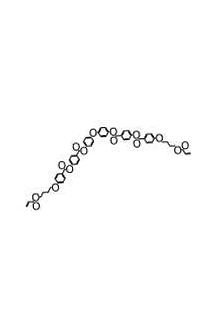 C=CC(=O)OCCCCOc1ccc(C(=O)Oc2ccc(C(=O)Oc3ccc(Oc4ccc(OC(=O)c5ccc(OC(=O)c6ccc(OCCCCOC(=O)C=C)cc6)cc5)cc4)cc3)cc2)cc1